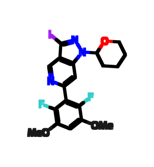 COc1cc(OC)c(F)c(-c2cc3c(cn2)c(I)nn3C2CCCCO2)c1F